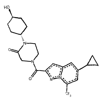 O=C(c1cc2cc(C3CC3)cc(C(F)(F)F)n2n1)N1CCN([C@H]2CC[C@H](O)CC2)C(=O)C1